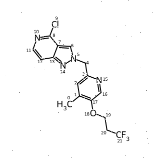 Cc1cc(Cn2cc3c(Cl)nccc3n2)ncc1OCCC(F)(F)F